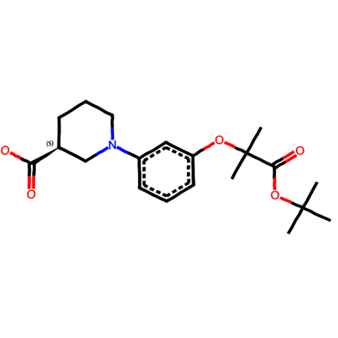 CC(C)(C)OC(=O)C(C)(C)Oc1cccc(N2CCC[C@H](C(=O)O)C2)c1